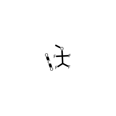 COC(F)(F)C(F)F.O=C=O